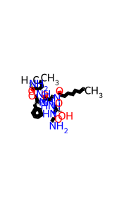 CCCCCCCC(=O)NCC(NC(=O)[C@H](CO)NC(=O)CN)C(=O)N[C@@H](Cc1ccccc1)C(=O)NC(CC(C)C)C(N)=O